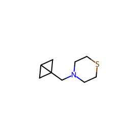 C1CN(CC23CC2C3)CCS1